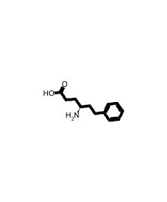 N[C@H](CCC(=O)O)CCc1ccccc1